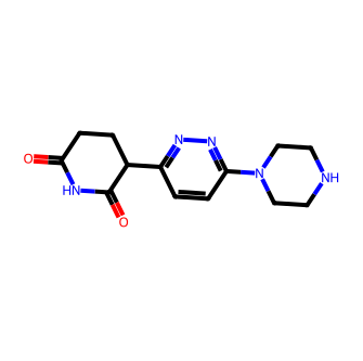 O=C1CCC(c2ccc(N3CCNCC3)nn2)C(=O)N1